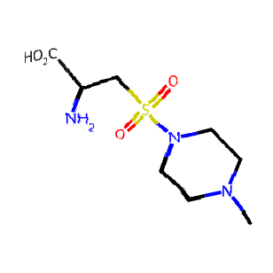 CN1CCN(S(=O)(=O)CC(N)C(=O)O)CC1